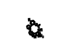 C[C@H]1CNC(=O)c2c(N)nn3ccc(nc23)N2CCCC2c2cc(F)ccc2O1